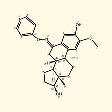 COc1cc2c(cc1O)C(=NOc1ccncc1)C[C@@H]1[C@@H]2CC[C@]2(C)[C@@H](O)CC[C@@H]12